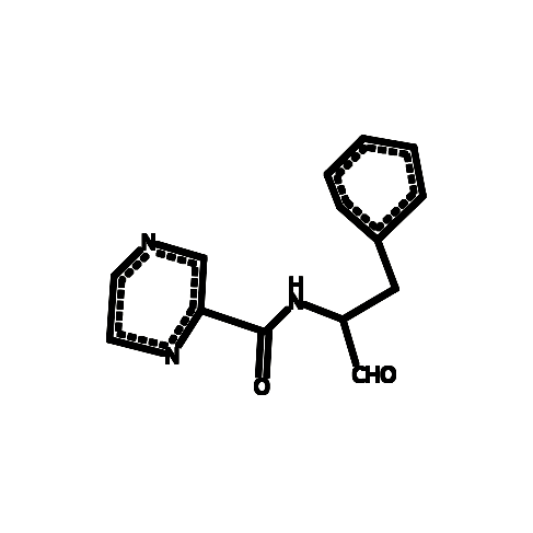 O=CC(Cc1ccccc1)NC(=O)c1cnccn1